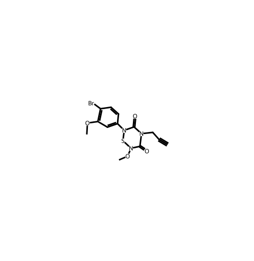 C#CCN1C(=O)N(OC)SN(c2ccc(Br)c(OC)c2)C1=O